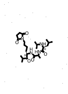 CC(C)C[C@H](NC(C)C)C(=O)NC(C)C(=O)N[C@@H](CCCCN1C(=O)CCC1=O)C(=O)C(C)C